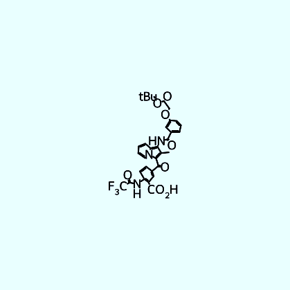 Cc1c(NC(=O)c2cccc(OCC(=O)OC(C)(C)C)c2)c2ccccn2c1C(=O)c1ccc(NC(=O)C(F)(F)F)c(C(=O)O)c1